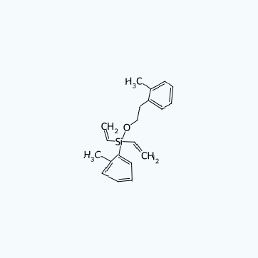 C=C[Si](C=C)(OCCc1ccccc1C)c1ccccc1C